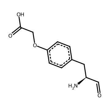 N[C@H](C=O)Cc1ccc(OCC(=O)O)cc1